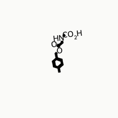 Cc1ccc(COC(=O)CNC(=O)O)cc1